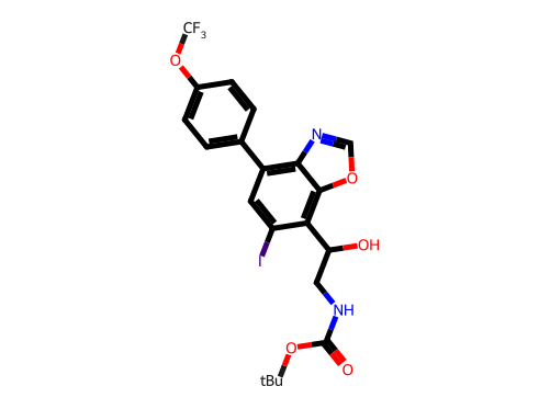 CC(C)(C)OC(=O)NCC(O)c1c(I)cc(-c2ccc(OC(F)(F)F)cc2)c2ncoc12